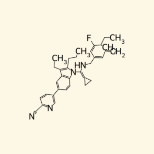 C=C/C=C(\C=C(\F)C(C)CC)CNC(=C1CC1)n1c(CCC)c(CC)c2cc(-c3ccc(C#N)nc3)ccc21